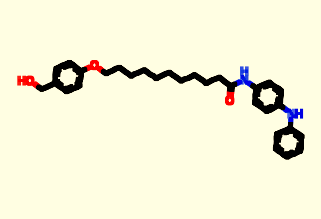 O=C(CCCCCCCCCCOc1ccc(CO)cc1)Nc1ccc(Nc2ccccc2)cc1